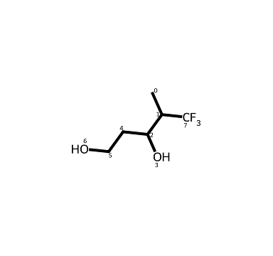 CC(C(O)CCO)C(F)(F)F